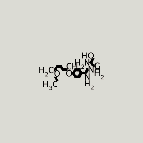 C=C(/C=C\C=C(/C)OC1C=CC(/C(N)=C/NC(=C)[C@@H](N)CO)=CC1)OCCC